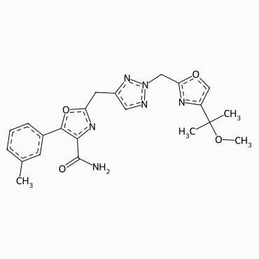 COC(C)(C)c1coc(Cn2ncc(Cc3nc(C(N)=O)c(-c4cccc(C)c4)o3)n2)n1